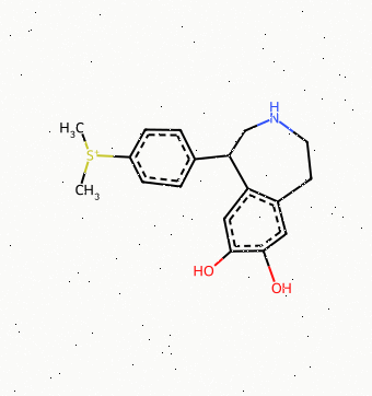 C[S+](C)c1ccc(C2CNCCc3cc(O)c(O)cc32)cc1